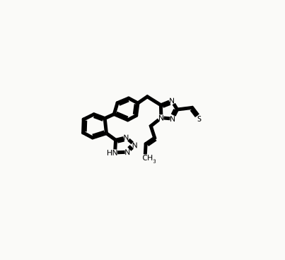 CC=CCn1nc(C=S)nc1Cc1ccc(-c2ccccc2-c2nnn[nH]2)cc1